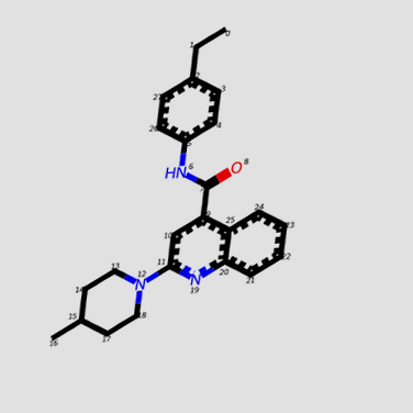 CCc1ccc(NC(=O)c2cc(N3CCC(C)CC3)nc3ccccc23)cc1